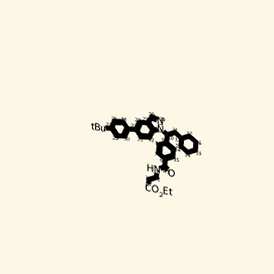 CCOC(=O)CCNC(=O)c1ccc(C(CC2CCCCC2)n2ncc3cc(-c4ccc(C(C)(C)C)cc4)ccc32)cc1